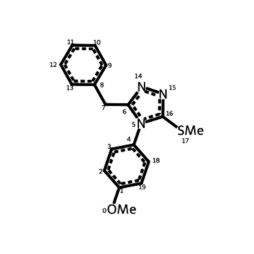 COc1ccc(-n2c(Cc3ccccc3)nnc2SC)cc1